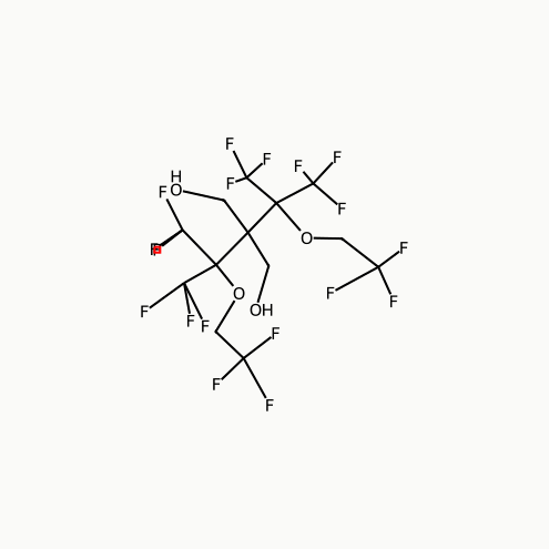 OCC(CO)(C(OCC(F)(F)F)(C(F)(F)F)C(F)(F)F)C(OCC(F)(F)F)(C(F)(F)F)C(F)(F)F